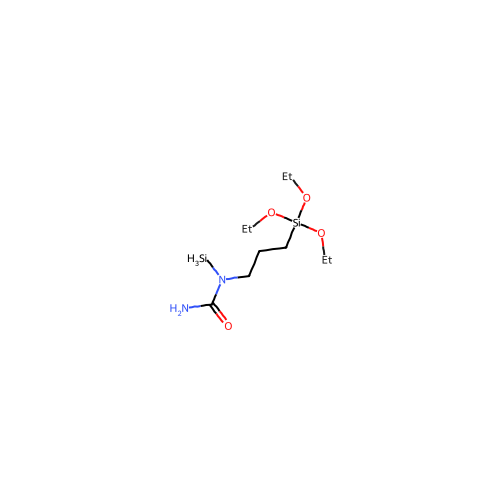 CCO[Si](CCCN([SiH3])C(N)=O)(OCC)OCC